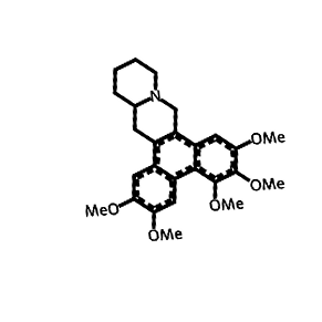 COc1cc2c3c(c4cc(OC)c(OC)c(OC)c4c2cc1OC)CN1CCCCC1C3